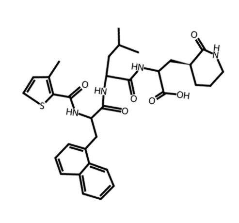 Cc1ccsc1C(=O)NC(Cc1cccc2ccccc12)C(=O)NC(CC(C)C)C(=O)NC(C[C@@H]1CCCNC1=O)C(=O)O